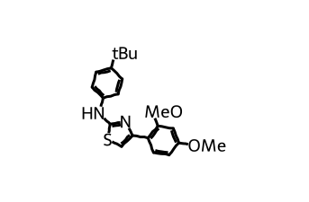 COc1ccc(-c2csc(Nc3ccc(C(C)(C)C)cc3)n2)c(OC)c1